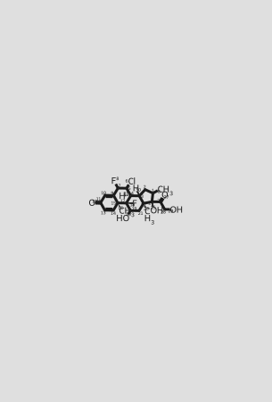 CC1C[C@H]2[C@@H]3C(Cl)C(F)C4=CC(=O)C=C[C@]4(C)[C@@]3(F)C(O)C[C@]2(C)[C@@]1(O)C(=O)CO